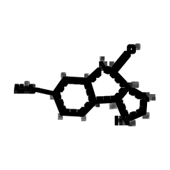 CSc1ccc2c(c1)nc(=O)n1nc[nH]c21